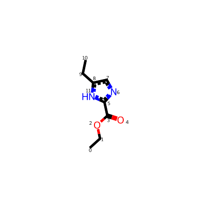 CCOC(=O)c1ncc(CC)[nH]1